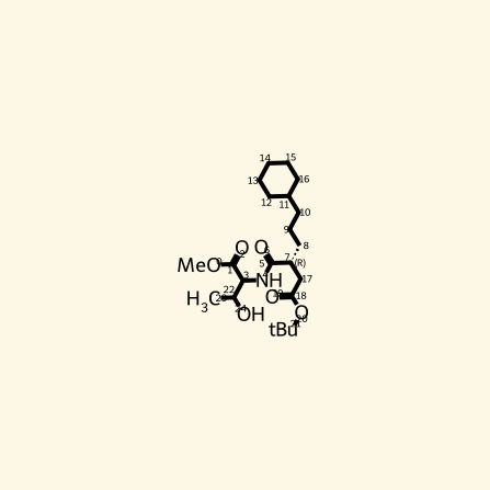 COC(=O)C(NC(=O)[C@H](CCCC1CCCCC1)CC(=O)OC(C)(C)C)C(C)O